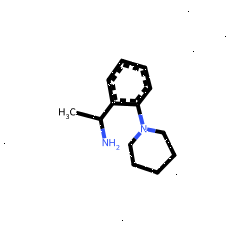 CC(N)c1ccccc1N1CCCCC1